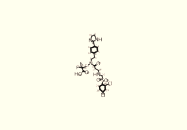 CN(CCc1ccc(C2=NCCN2)cc1)C(=O)CCNCS(=O)(=O)c1ccc(Cl)cc1Cl.O=C(O)C(F)(F)F